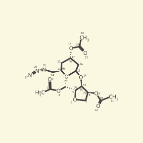 CC(=O)OC[C@H]1OC[C@H](OC(C)=O)[C@@H]1OC1C[C@@H](OC(C)=O)C[C@H](CN=[N+]=[N-])O1